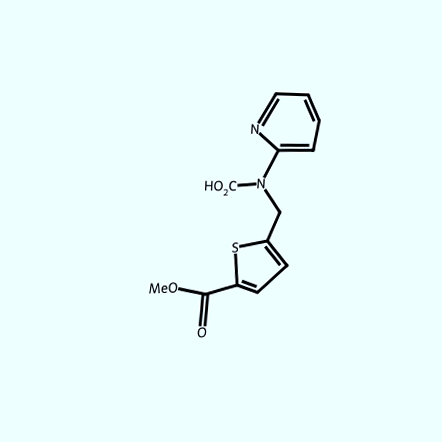 COC(=O)c1ccc(CN(C(=O)O)c2ccccn2)s1